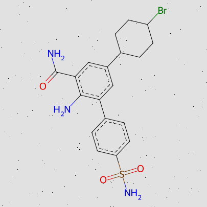 NC(=O)c1cc(C2CCC(Br)CC2)cc(-c2ccc(S(N)(=O)=O)cc2)c1N